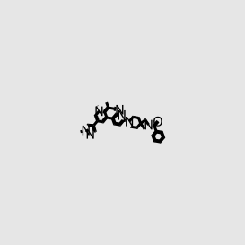 C/C(C#N)=C1/C(c2ccc(N3CCC4(CC3)CN(C(=O)c3ccccc3)C4)nc2)=CC(c2cnn(C)c2)=CN1C